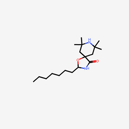 CCCCCCCC1NC(=O)C2(CC(C)(C)NC(C)(C)C2)O1